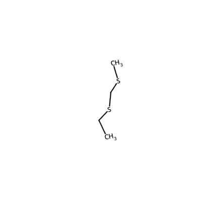 CCSCSC